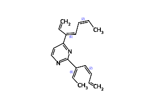 C=C/C=C\C(=C/C)c1nccc(/C(C=C)=C/C=C\C)n1